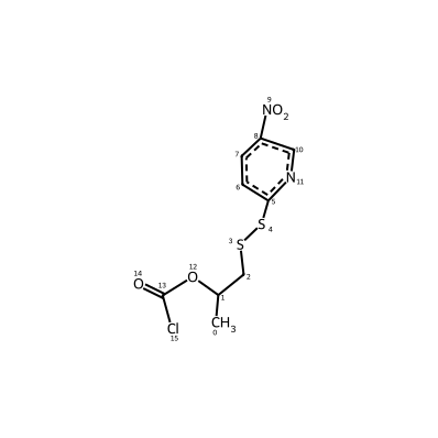 CC(CSSc1ccc([N+](=O)[O-])cn1)OC(=O)Cl